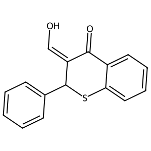 O=C1C(=CO)C(c2ccccc2)Sc2ccccc21